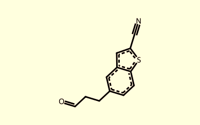 N#Cc1cc2cc(CCC=O)ccc2s1